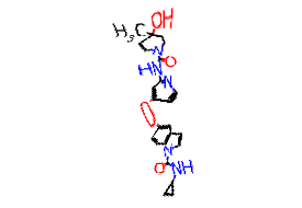 CC1(O)CCN(C(=O)Nc2cc(Oc3ccc4c(ccn4C(=O)NC4CC4)c3)ccn2)CC1